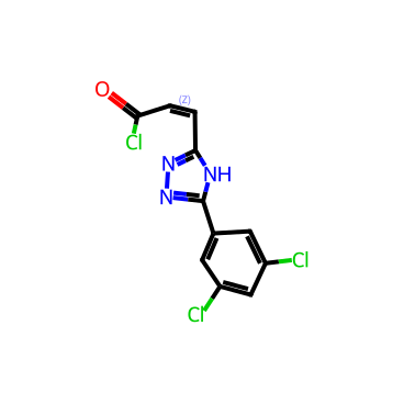 O=C(Cl)/C=C\c1nnc(-c2cc(Cl)cc(Cl)c2)[nH]1